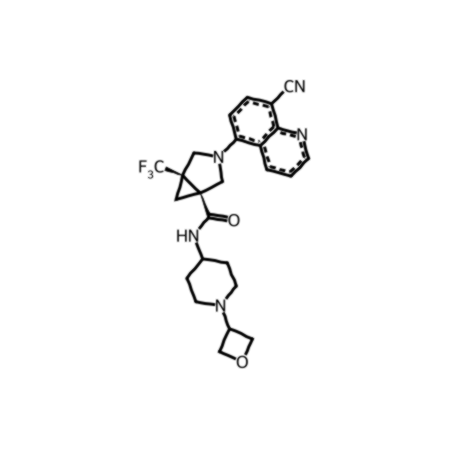 N#Cc1ccc(N2C[C@]3(C(=O)NC4CCN(C5COC5)CC4)C[C@]3(C(F)(F)F)C2)c2cccnc12